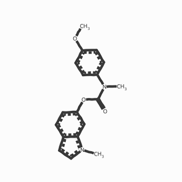 COc1ccc(N(C)C(=O)Oc2ccc3ccn(C)c3c2)cc1